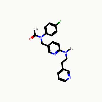 CCN(CCc1cccnc1)c1ccc(CN(C(=O)C(C)(C)C)c2ccc(F)cc2)cn1